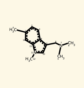 Cc1ccc2c(CN(C)C)cn(C)c2c1